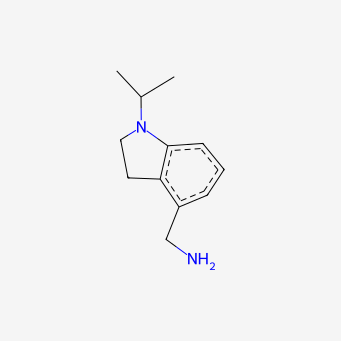 CC(C)N1CCc2c(CN)cccc21